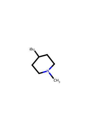 CCC(C)C1CCN(C)CC1